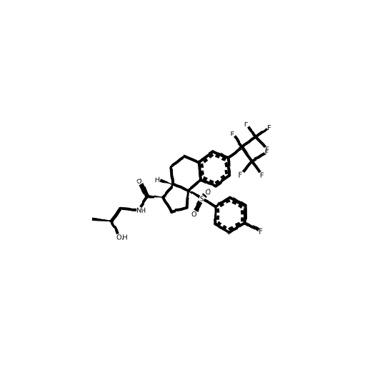 C[C@H](O)CNC(=O)[C@@H]1CC[C@@]2(S(=O)(=O)c3ccc(F)cc3)c3ccc(C(F)(C(F)(F)F)C(F)(F)F)cc3CC[C@@H]12